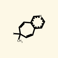 CC1(I)C=Cc2ccncc2C=C1